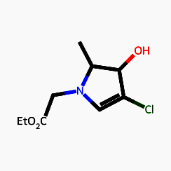 CCOC(=O)CN1C=C(Cl)C(O)C1C